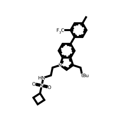 Cc1ccc(-c2ccc3c(c2)c(CC(C)(C)C)cn3CCNS(=O)(=O)C2CCC2)c(C(F)(F)F)c1